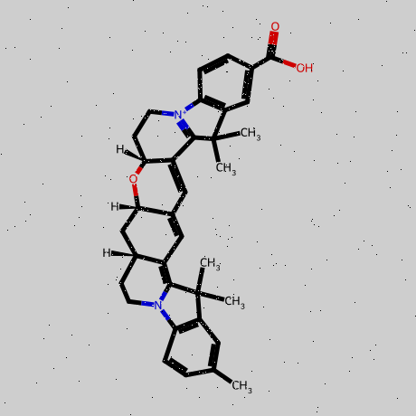 Cc1ccc2c(c1)C(C)(C)C1=C3C=C4C=C5C6=[N+](CC[C@H]5O[C@H]4C[C@H]3CCN12)c1ccc(C(=O)O)cc1C6(C)C